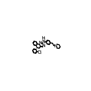 Clc1ccccc1[C@H]1Cc2cnc(Nc3ccc(CCN4CCCCC4)cc3)nc2-c2ccccc21